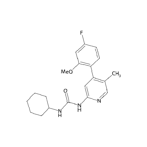 COc1cc(F)ccc1-c1cc(NC(=O)NC2CCCCC2)ncc1C